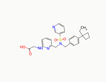 CCC1(c2ccc(CN(Cc3cccc(NCC(=O)O)n3)S(=O)(=O)c3cccnc3)cc2)CCC1